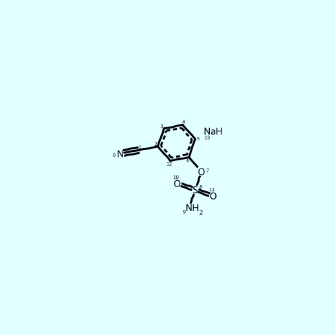 N#Cc1cccc(OS(N)(=O)=O)c1.[NaH]